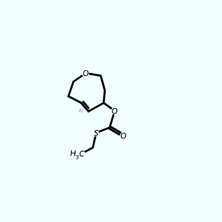 CCSC(=O)OC1/C=C/CCOCC1